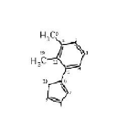 Cc1cccc(C2=CC=CC2)c1C